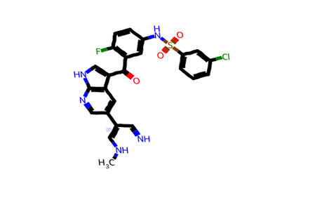 CN/C=C(\C=N)c1cnc2[nH]cc(C(=O)c3cc(NS(=O)(=O)c4cccc(Cl)c4)ccc3F)c2c1